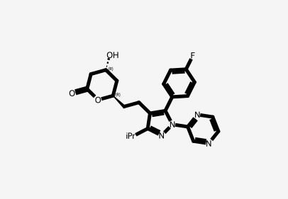 CC(C)c1nn(-c2cnccn2)c(-c2ccc(F)cc2)c1CC[C@@H]1C[C@@H](O)CC(=O)O1